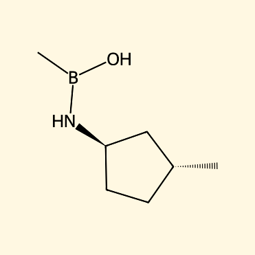 CB(O)N[C@@H]1CC[C@@H](C)C1